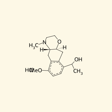 COc1ccc(C(C)O)c2c1C[C@H]1[C@H](C2)OCCN1C.Cl